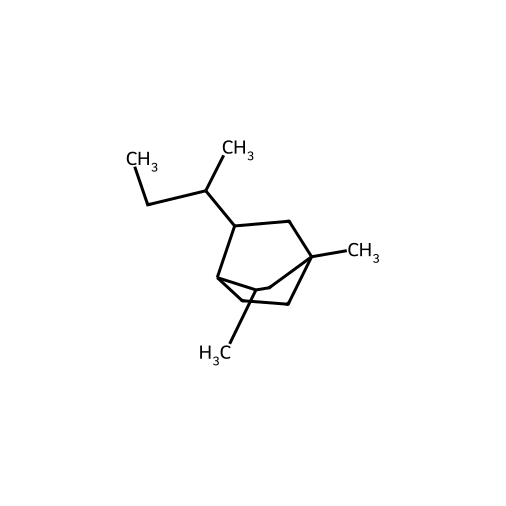 CCC(C)C1CC2(C)CCC1C(C)C2